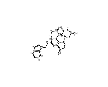 O=C(O)COc1ccc(Cl)cc1C1c2ccccc2CCN1C(=O)CCn1ccc2ccncc21